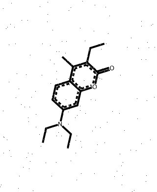 [CH2]Cc1c(C)c2ccc(N(CC)CC)cc2oc1=O